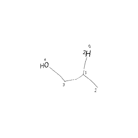 [2H]C(C)CO